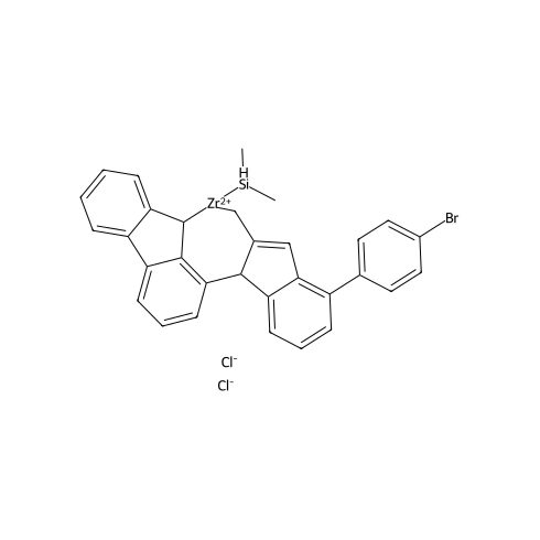 CCC1=Cc2c(-c3ccc(Br)cc3)cccc2C1c1cccc2c1[CH]([Zr+2][SiH](C)C)c1ccccc1-2.[Cl-].[Cl-]